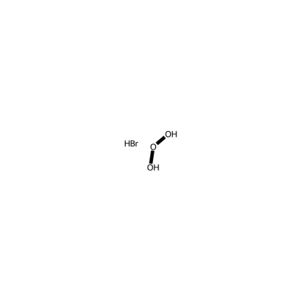 Br.OOO